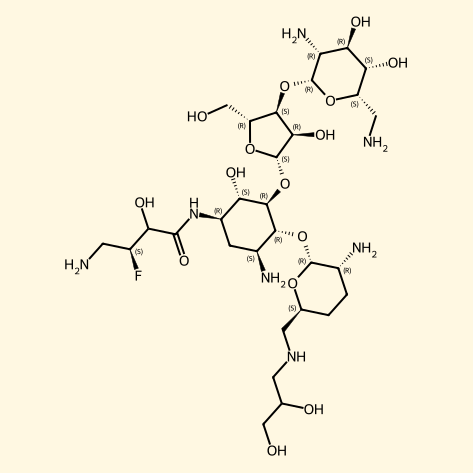 NC[C@@H]1O[C@H](O[C@H]2[C@@H](O)[C@H](O[C@@H]3[C@@H](O)[C@H](NC(=O)C(O)[C@@H](F)CN)C[C@H](N)[C@H]3O[C@H]3O[C@H](CNCC(O)CO)CC[C@H]3N)O[C@@H]2CO)[C@H](N)[C@@H](O)[C@@H]1O